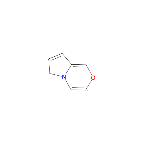 [C]1=CN2CC=CC2=CO1